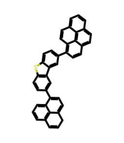 C1=Cc2cccc3c(-c4ccc5sc6ccc(-c7ccc8ccc9cccc%10ccc7c8c9%10)cc6c5c4)ccc(c23)C1